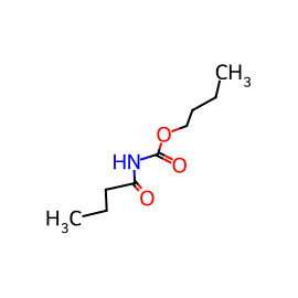 CCCCOC(=O)NC(=O)CCC